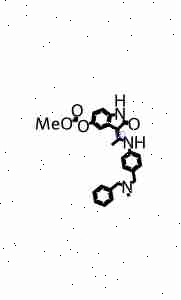 COC(=O)Oc1ccc2c(c1)/C(=C(\C)Nc1ccc(CN(C)Cc3ccccc3)cc1)C(=O)N2